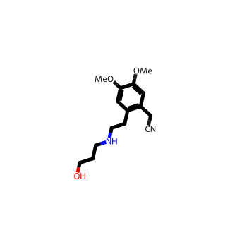 COc1cc(CC#N)c(CCNCCCO)cc1OC